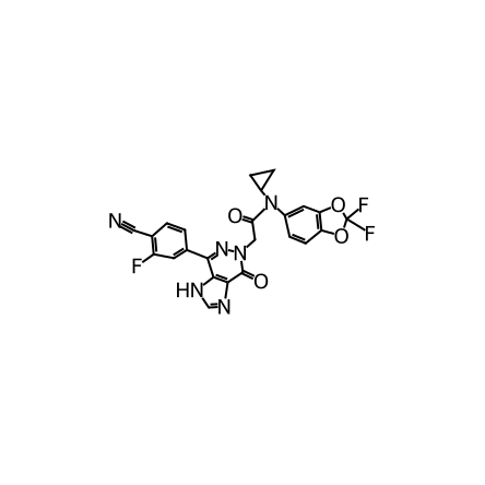 N#Cc1ccc(-c2nn(CC(=O)N(c3ccc4c(c3)OC(F)(F)O4)C3CC3)c(=O)c3nc[nH]c23)cc1F